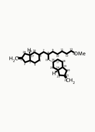 C=C1CC2CCC(CC(CCCCCOC)C[C@@H]3CCC4CC(=C)C[C@@H]4C3)C[C@H]2C1